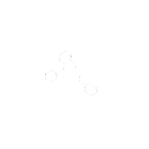 O=C(O)OC1=C(SCCCc2ccc(F)cc2)N(Cc2ccccn2)CC=C1